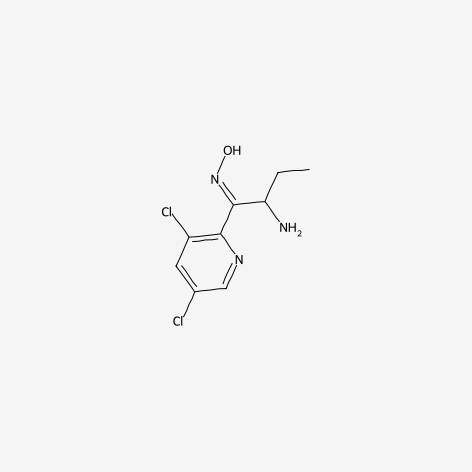 CCC(N)C(=NO)c1ncc(Cl)cc1Cl